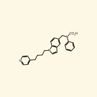 O=C(O)N(Cc1ccc2c(ccn2CCCCc2ccncc2)c1)c1ccccc1